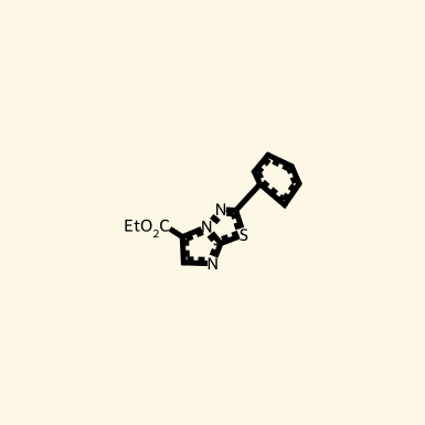 CCOC(=O)c1cnc2sc(-c3ccccc3)nn12